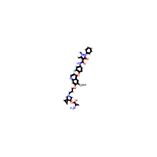 COc1cc2c(Oc3ccc(NC(=O)c4c(C)n(C)n(-c5ccccc5)c4=O)cc3F)ccnc2cc1OCCCN1CC(OC(=O)C(C)N)C2(CC2)C1